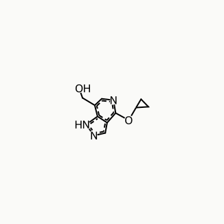 OCc1cnc(OC2CC2)c2cn[nH]c12